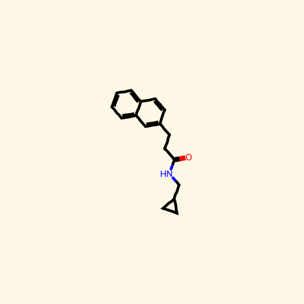 O=C(CCc1ccc2ccccc2c1)NCC1CC1